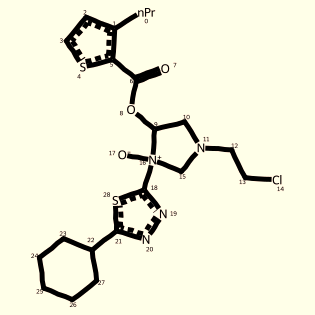 CCCc1ccsc1C(=O)OC1CN(CCCl)C[N+]1([O-])c1nnc(C2CCCCC2)s1